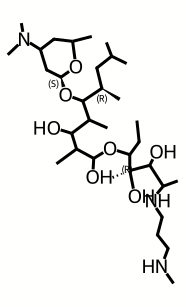 CCC(OC(O)C(C)C(O)C(C)C(O[C@H]1CC(N(C)C)CC(C)O1)[C@H](C)CC(C)C)[C@](C)(O)C(O)C(C)NCCCNC